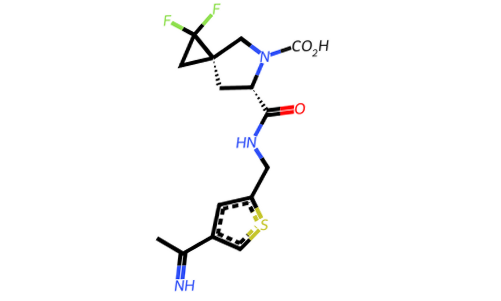 CC(=N)c1csc(CNC(=O)[C@@H]2C[C@]3(CN2C(=O)O)CC3(F)F)c1